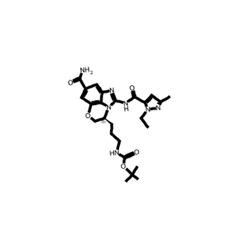 CCn1nc(C)cc1C(=O)Nc1nc2cc(C(N)=O)cc3c2n1[C@@H](CCCNC(=O)OC(C)(C)C)CO3